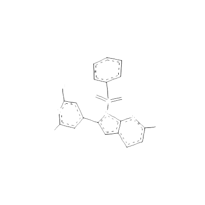 Cc1cc(-c2cc3ccc(Cl)nc3n2S(=O)(=O)c2ccccc2)cc(C)n1